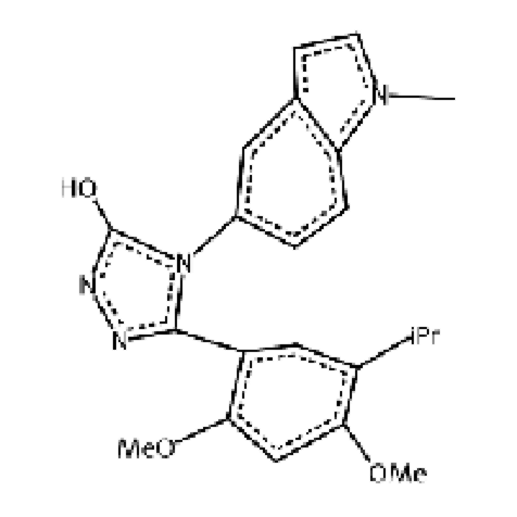 COc1cc(OC)c(C(C)C)cc1-c1nnc(O)n1-c1ccc2c(ccn2C)c1